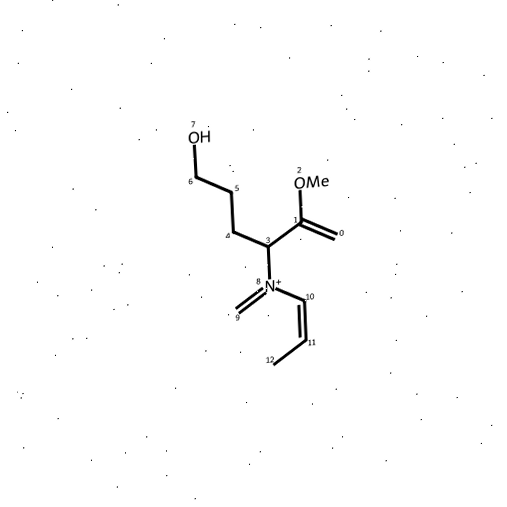 C=C(OC)C(CCCO)[N+](=C)/C=C\C